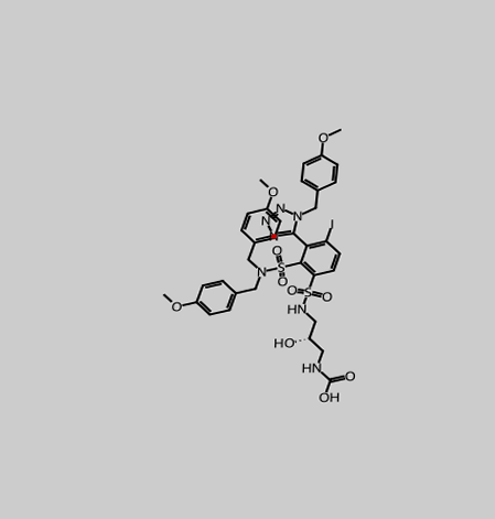 COc1ccc(CN(Cc2ccc(OC)cc2)S(=O)(=O)c2c(S(=O)(=O)NC[C@@H](O)CNC(=O)O)ccc(I)c2-c2nnnn2Cc2ccc(OC)cc2)cc1